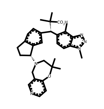 Cc1c([C@H](c2ccc3c(c2)[C@H](N2Cc4cnccc4OC(C)(C)C2)CC3)C(C)(C)C(=O)O)ccc2c1nnn2C